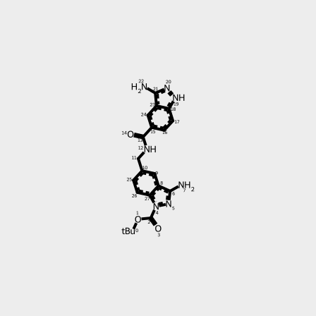 CC(C)(C)OC(=O)n1nc(N)c2cc(CNC(=O)c3ccc4[nH]nc(N)c4c3)ccc21